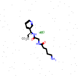 CCOC(=O)C[C@H](NC(=O)CNC(=O)CCCCN)c1cccnc1.Cl.Cl